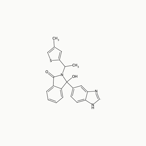 Cc1csc(C(C)N2C(=O)c3ccccc3C2(O)c2ccc3[nH][c]nc3c2)c1